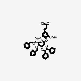 COc1cc(C=CC(=O)Cl)cc(OC)c1O[C@@H]1O[C@H](COCc2ccccc2)[C@@H](OCc2ccccc2)[C@H](OCc2ccccc2)[C@H]1OCc1ccccc1